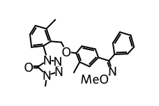 CON=C(c1ccccc1)c1ccc(OCc2c(C)cccc2-n2nnn(C)c2=O)c(C)c1